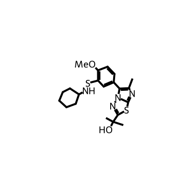 COc1ccc(-c2c(C)nc3sc(C(C)(C)O)nn23)cc1SNC1CCCCC1